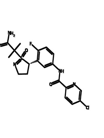 C/N=C(/N)C(C)(C)S1(=O)=NCC[C@H]1c1cc(NC(=O)c2ccc(Cl)cn2)ccc1F